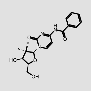 C[C@@]1(F)[C@H](O)[C@H](CO)O[C@H]1n1ccc(NC(=O)c2ccccc2)nc1=O